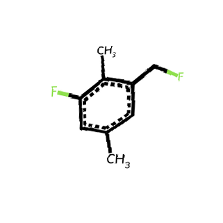 Cc1cc(F)c(C)c(CF)c1